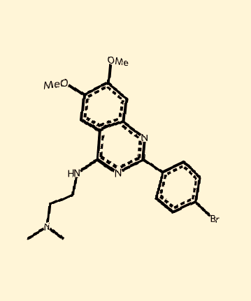 COc1cc2nc(-c3ccc(Br)cc3)nc(NCCN(C)C)c2cc1OC